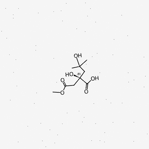 COC(=O)C[C@](O)(CC(C)(C)O)C(=O)O